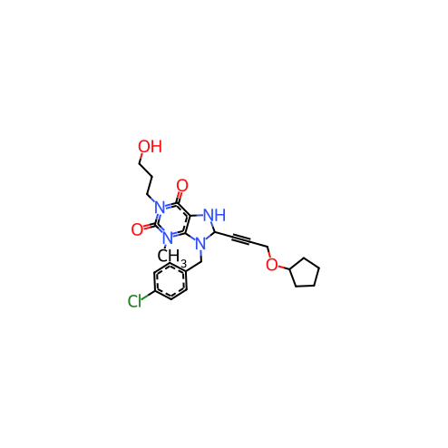 Cn1c2c(c(=O)n(CCCO)c1=O)NC(C#CCOC1CCCC1)N2Cc1ccc(Cl)cc1